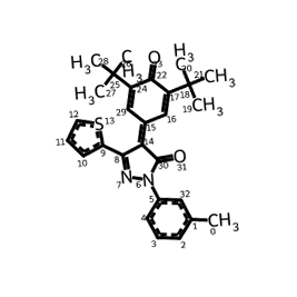 Cc1cccc(N2N=C(c3cccs3)C(=C3C=C(C(C)(C)C)C(=O)C(C(C)(C)C)=C3)C2=O)c1